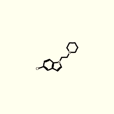 Clc1ccc2c(ccn2CCN2CCCCC2)c1